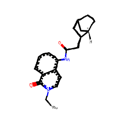 CC(C)(C)Cn1ccc2c(NC(=O)CC3CC4CC[C@H]3C4)cccc2c1=O